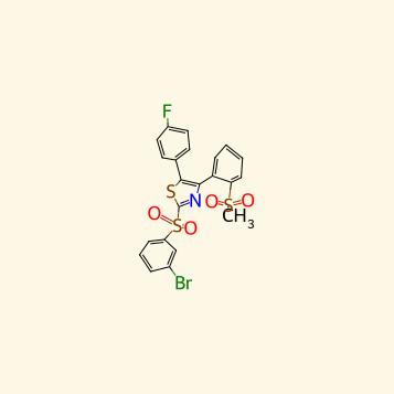 CS(=O)(=O)c1ccccc1-c1nc(S(=O)(=O)c2cccc(Br)c2)sc1-c1ccc(F)cc1